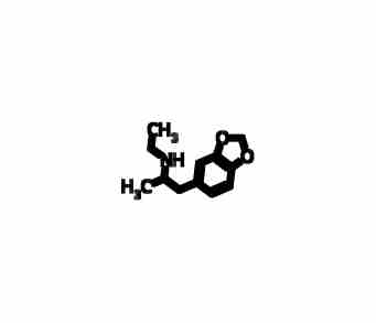 CCNC(C)Cc1ccc2c(c1)OCO2